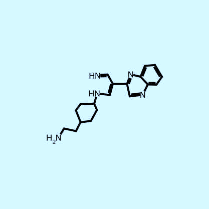 N=C/C(=C\NC1CCC(CCN)CC1)c1cnc2ccccc2n1